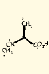 C.[C-]#[N+]C(C)C(=O)O